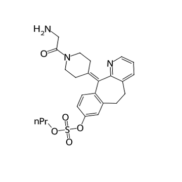 CCCOS(=O)(=O)Oc1ccc2c(c1)CCc1cccnc1C2=C1CCN(C(=O)CN)CC1